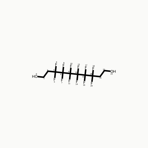 OCCC(F)(F)C(F)(F)C(F)(F)C(F)(F)C(F)(F)C(F)(F)CCO